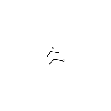 CCCl.CCCl.[In]